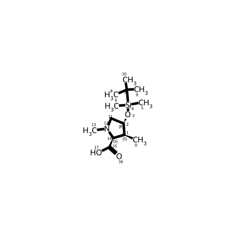 C[C@@H]1[C@@H](O[Si](C)(C)C(C)(C)C)CN(C)[C@@H]1C(=O)O